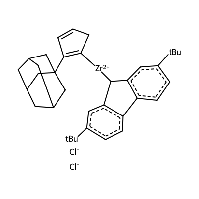 CC(C)(C)c1ccc2c(c1)[CH]([Zr+2][C]1=C(C34CC5CC(CC(C5)C3)C4)C=CC1)c1cc(C(C)(C)C)ccc1-2.[Cl-].[Cl-]